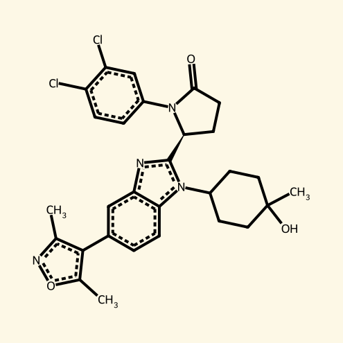 Cc1noc(C)c1-c1ccc2c(c1)nc([C@@H]1CCC(=O)N1c1ccc(Cl)c(Cl)c1)n2C1CCC(C)(O)CC1